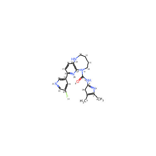 CC1=C(C)N=C(NC(=O)N2CCCCNc3ccc(-c4cncc(F)c4)nc32)C1